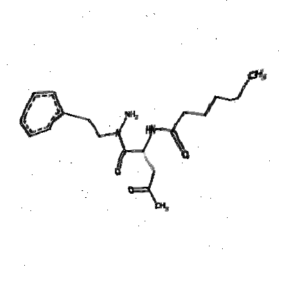 CCCCCC(=O)N[C@H](CC(C)=O)C(=O)N(N)CCc1ccccc1